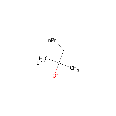 CCCCC(C)(C)[O-].[Li+]